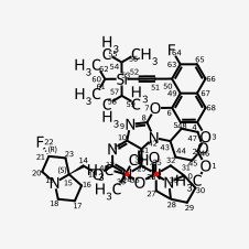 COCOc1cc(Oc2nc3nc(OC[C@@]45CCCN4C[C@H](F)C5)nc(N4CC5CCC(C4)N5C(=O)OC(C)(C)C)c3n2C2CCOCC2)c2c(C#C[Si](C(C)C)(C(C)C)C(C)C)c(F)ccc2c1